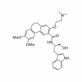 COc1cc2c(cc1OC)-c1cc(C(=O)N[C@@H](CO)Cc3c[nH]c4ccccc34)c(OCCN(C)C)cc1CC2